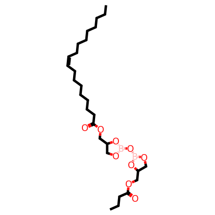 CCCCCCCC/C=C\CCCCCCCC(=O)OCC1COB(OB2OCC(COC(=O)CCC)O2)O1